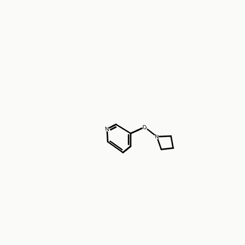 c1cncc(ON2CCC2)c1